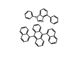 c1ccc(-c2cccc3c2ncn3-c2ccccc2)cc1.c1ccc2c(-c3c4ccccc4c(-c4cccc5ccccc45)c4ccccc34)cccc2c1